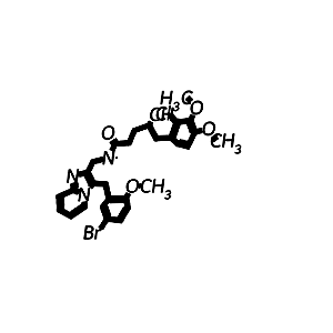 COc1ccc(Br)cc1Cc1c(C[N]C(=O)CCC(C)Cc2ccc(OC)c(OC)c2Cl)nc2ccccn12